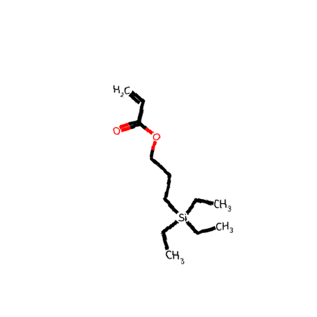 C=CC(=O)OCCC[Si](CC)(CC)CC